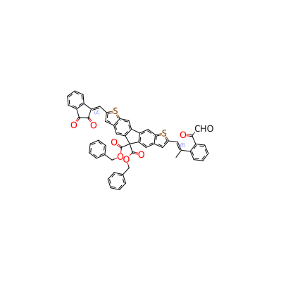 C/C(=C\c1cc2cc3c(cc2s1)-c1cc2sc(/C=C4\C(=O)C(=O)c5ccccc54)cc2cc1C3(C(=O)OCc1ccccc1)C(=O)OCc1ccccc1)c1ccccc1C(=O)C=O